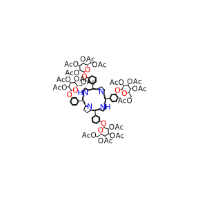 CC(=O)OC[C@H]1O[C@@H](Oc2cccc(-c3c4nc(c(-c5cccc(O[C@@H]6O[C@H](COC(C)=O)[C@@H](OC(C)=O)[C@H](OC(C)=O)[C@H]6OC(C)=O)c5)c5ccc([nH]5)c(-c5cccc(O[C@@H]6O[C@H](COC(C)=O)[C@@H](OC(C)=O)[C@H](OC(C)=O)[C@H]6OC(C)=O)c5)c5nc(c(-c6cccc(O[C@@H]7O[C@H](COC(C)=O)[C@@H](OC(C)=O)[C@H](OC(C)=O)[C@H]7OC(C)=O)c6)c6ccc3[nH]6)CC5)CC4)c2)[C@H](OC(C)=O)[C@@H](OC(C)=O)[C@@H]1OC(C)=O